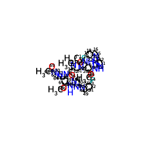 C=CC(=O)Nc1cc(Nc2nccc(-n3ccc4ccc(F)cc43)n2)c(OC)cc1N1CC/C(=C\C(=O)Nc2cc(Nc3nccc(-n4ccc5ccc(F)cc54)n3)c(OC)cc2N2CCN(C(C)=O)CC2)N(C)CC1